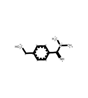 CN(C)C(=N)c1ccc(CC(=O)O)cc1